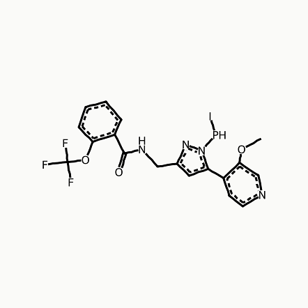 COc1cnccc1-c1cc(CNC(=O)c2ccccc2OC(F)(F)F)nn1PI